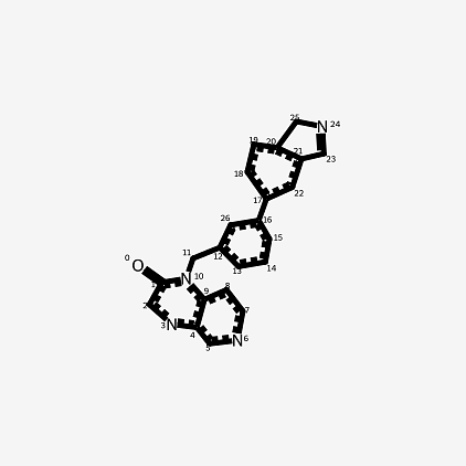 O=c1cnc2cnccc2n1Cc1cccc(-c2ccc3c(c2)C=NC3)c1